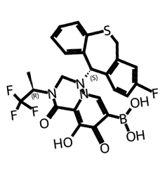 C[C@@H](N1CN([C@H]2c3ccc(F)cc3CSc3ccccc32)n2cc(B(O)O)c(=O)c(O)c2C1=O)C(F)(F)F